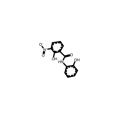 O=C(Nc1ccccc1O)c1cccc([N+](=O)[O-])c1O